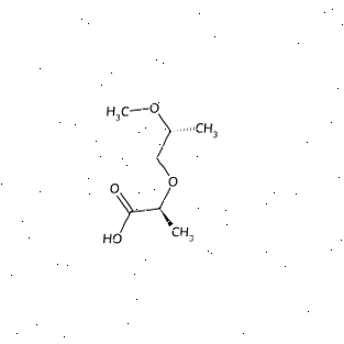 CO[C@H](C)CO[C@@H](C)C(=O)O